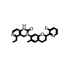 CCc1nccc2c1CN(c1cc3c(cc1C)CCC(c1ncccc1F)O3)C(=O)N2